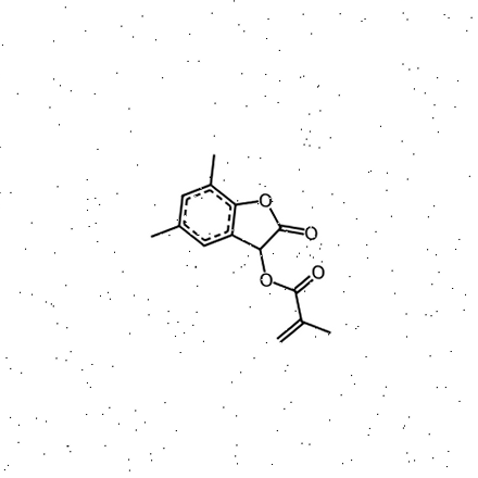 C=C(C)C(=O)OC1C(=O)Oc2c(C)cc(C)cc21